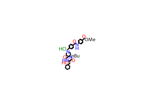 CCCCN1C(=O)[C@@H](CC2(O)CCCCC2)NC(=O)C12CCN(Cc1ccc(C(=O)Nc3ccc(C(=O)OC)cc3)cc1)CC2.Cl